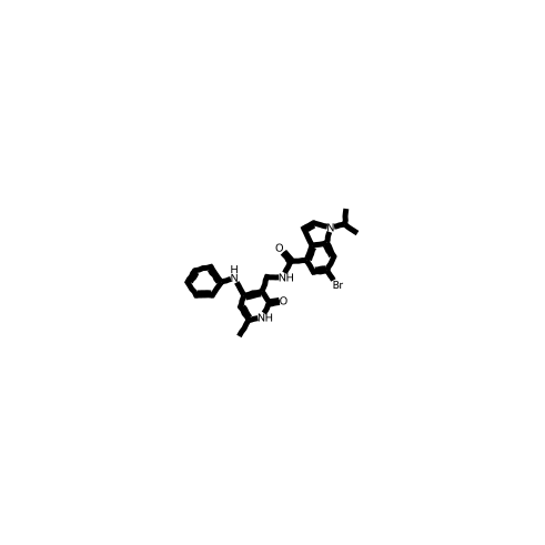 Cc1cc(Nc2ccccc2)c(CNC(=O)c2cc(Br)cc3c2ccn3C(C)C)c(=O)[nH]1